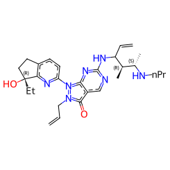 C=CCn1c(=O)c2cnc(NC(C=C)[C@H](C)[C@H](C)NCCC)nc2n1-c1ccc2c(n1)[C@@](O)(CC)CC2